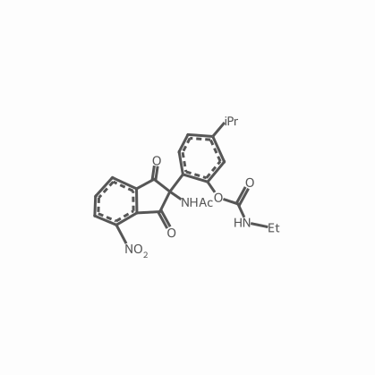 CCNC(=O)Oc1cc(C(C)C)ccc1C1(NC(C)=O)C(=O)c2cccc([N+](=O)[O-])c2C1=O